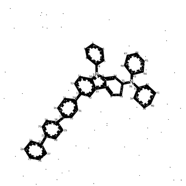 C1=c2c(n(-c3ccccc3)c3ccc(-c4ccc(-c5ccc(-c6ccccc6)cc5)cc4)cc23)=CC(N(c2ccccc2)c2ccccc2)C1